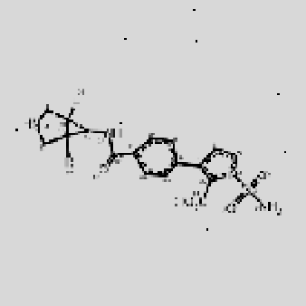 NS(=O)(=O)n1ccc(-c2ccc(C(=O)N[C@H]3[C@@H]4CNC[C@@H]43)cc2)c1C(=O)O